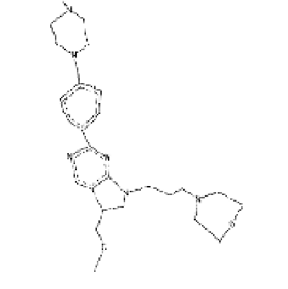 COCC1CN(CCCN2CCOCC2)c2nc(-c3ccc(N4CCN(C)CC4)cc3)ncc21